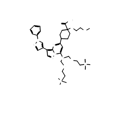 COCCOC1(C(=O)O)CCC(c2cc(N(COCC[Si](C)(C)C)COCC[Si](C)(C)C)n3ncc(-c4cnn(-c5ccccc5)c4)c3n2)CC1